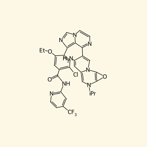 CCOc1cc(C(=O)Nc2cc(C(F)(F)F)ccn2)c(Cl)cc1-c1ncn2ccnc(-c3cn4c5oc=5n(C(C)C)cc4cc3N)c12